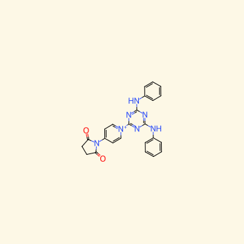 O=C1CCC(=O)N1c1cc[n+](-c2nc(Nc3ccccc3)nc(Nc3ccccc3)n2)cc1